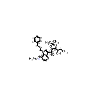 CC[C@@H](O)[C@H]1OC(C)(C)OC1C(O)c1cn(COCc2ccccc2)c2c(/N=P/P)ncnc12